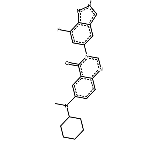 CN(c1ccc2ncn(-c3cc(F)c4nn(C)cc4c3)c(=O)c2c1)C1CCCCC1